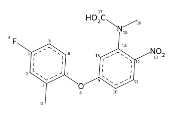 Cc1cc(F)ccc1Oc1ccc([N+](=O)[O-])c(N(C)C(=O)O)c1